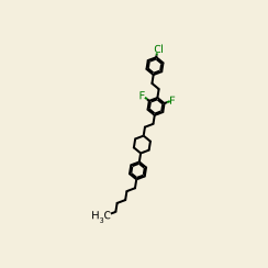 CCCCCCc1ccc(C2CCC(CCc3cc(F)c(CCc4ccc(Cl)cc4)c(F)c3)CC2)cc1